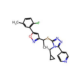 Cc1ccc(F)c(-c2cc(C(C)Sc3nnc(-c4ccncc4)n3CC3CC3)no2)c1